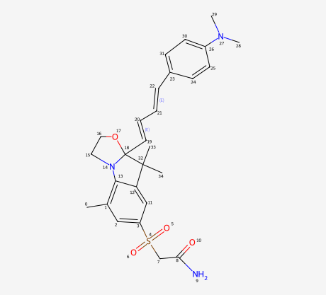 Cc1cc(S(=O)(=O)CC(N)=O)cc2c1N1CCOC1(/C=C/C=C/c1ccc(N(C)C)cc1)C2(C)C